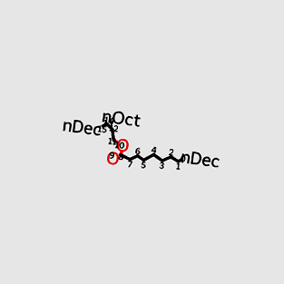 CCCCCCCCCCCCCCCCCC(=O)OCCC(CCCCCCCC)CCCCCCCCCC